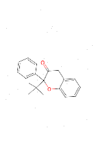 CC(C)(C)C1(c2ccccc2)Oc2ccccc2CC1=O